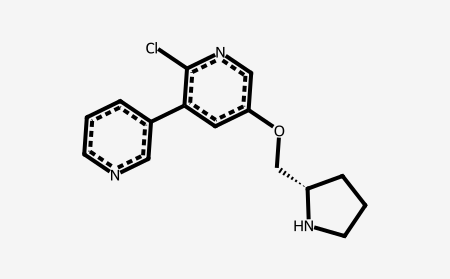 Clc1ncc(OC[C@@H]2CCCN2)cc1-c1cccnc1